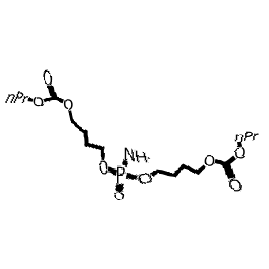 CCCOC(=O)OCCCCOP([NH])(=O)OCCCCOC(=O)OCCC